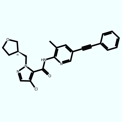 Cc1cc(C#Cc2ccccc2)cnc1NC(=O)c1c(Cl)cnn1C[C@H]1CCOC1